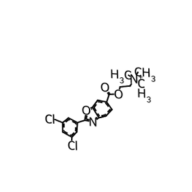 C[N+](C)(C)CCOC(=O)c1ccc2nc(-c3cc(Cl)cc(Cl)c3)oc2c1